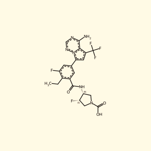 CCc1c(F)cc(-c2cc(C(F)(F)F)c3c(N)ncnn23)cc1C(=O)N[C@@H]1CN(C(=O)O)C[C@@H]1F